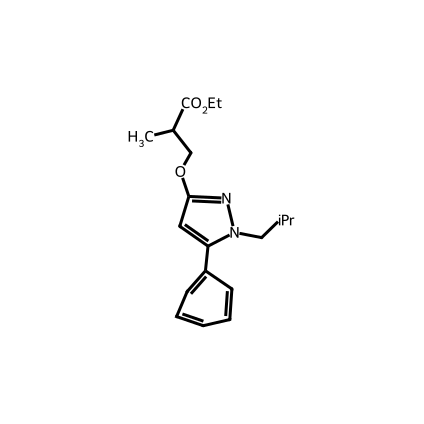 CCOC(=O)C(C)COc1cc(-c2ccccc2)n(CC(C)C)n1